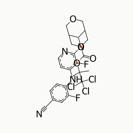 CC(C)(OC(=O)N1CC2COCC(C1)C2Oc1nccc(Nc2ccc(C#N)cc2F)c1F)C(Cl)(Cl)Cl